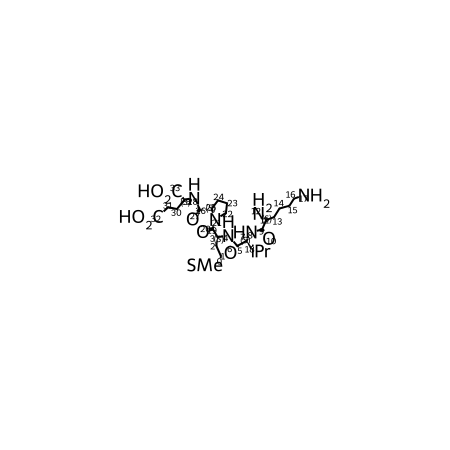 CSCC[C@H](NC(=O)[C@@H](NC(=O)[C@@H](N)CCCCN)C(C)C)C(=O)N1CCC[C@H]1C(=O)N[C@@H](CCC(=O)O)C(=O)O